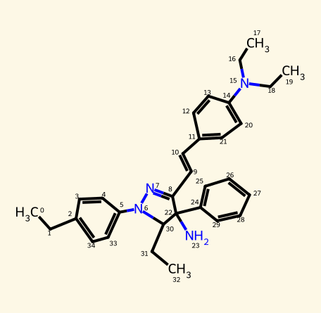 CCc1ccc(N2N=C(C=Cc3ccc(N(CC)CC)cc3)C(N)(c3ccccc3)C2CC)cc1